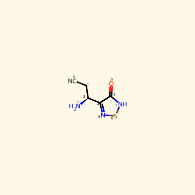 N#CC[C@H](N)c1ns[nH]c1=O